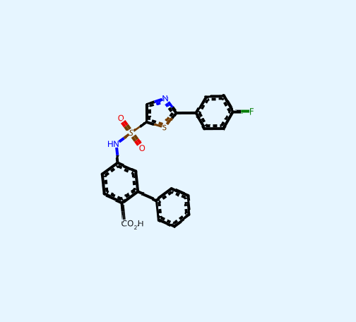 O=C(O)c1ccc(NS(=O)(=O)c2cnc(-c3ccc(F)cc3)s2)cc1-c1ccccc1